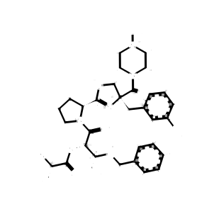 C[C@H](N)C(=O)N[C@H](C(=O)N1CCC[C@H]1C1=N[C@@](Cc2cccc(Cl)c2)(C(=O)N2CCN(C)CC2)CO1)[C@@H](C)OCc1ccccc1